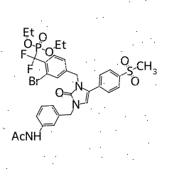 CCOP(=O)(OCC)C(F)(F)c1ccc(Cn2c(-c3ccc(S(C)(=O)=O)cc3)cn(Cc3cccc(NC(C)=O)c3)c2=O)cc1Br